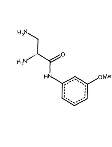 COc1cccc(NC(=O)[C@H](N)CN)c1